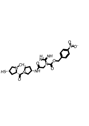 CN1C[C@@H](S)C[C@H]1C(=O)N1CC[C@H](NC(=O)CN(C(=N)N)C(=O)OCc2ccc([N+](=O)[O-])cc2)C1